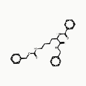 O=C(NCCCCC(NC(=O)c1ccccc1)C(=O)NCc1ccccc1)OCc1ccccc1